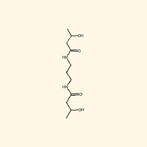 CC(O)CC(=O)NCCCNC(=O)CC(C)O